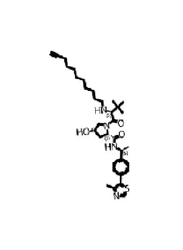 C#CCCCCCCCCCN[C@H](C(=O)N1C[C@H](O)C[C@H]1C(=O)N[C@@H](C)c1ccc(-c2scnc2C)cc1)C(C)(C)C